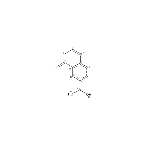 O=C1CC=Nc2ccc(B(O)O)cc21